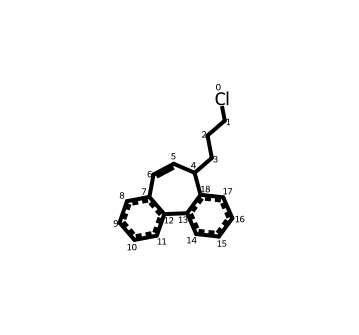 ClCCCC1C=Cc2ccccc2-c2ccccc21